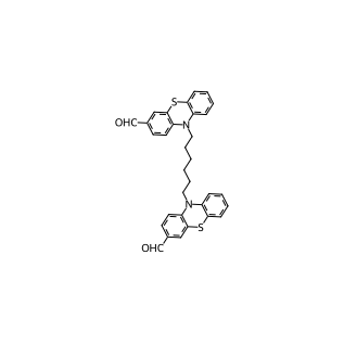 O=Cc1ccc2c(c1)Sc1ccccc1N2CCCCCCN1c2ccccc2Sc2cc(C=O)ccc21